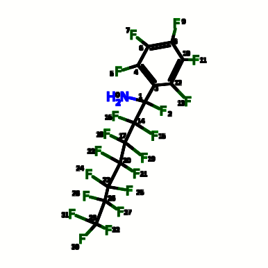 NC(F)(c1c(F)c(F)c(F)c(F)c1F)C(F)(F)C(F)(F)C(F)(F)C(F)(F)C(F)(F)C(F)(F)F